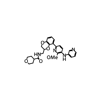 COc1nc(-c2cccc3c2OC(CNC(=O)C2CCOCC2)CO3)ccc1Nc1cccnc1